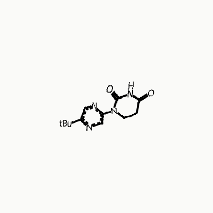 CC(C)(C)c1cnc(N2CCC(=O)NC2=O)cn1